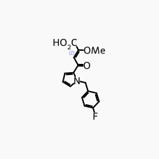 CO/C(=C\C(=O)c1cccn1Cc1ccc(F)cc1)C(=O)O